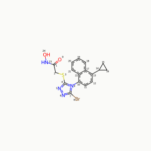 O=C(CSc1nnc(Br)n1-c1ccc(C2CC2)c2ccccc12)NO